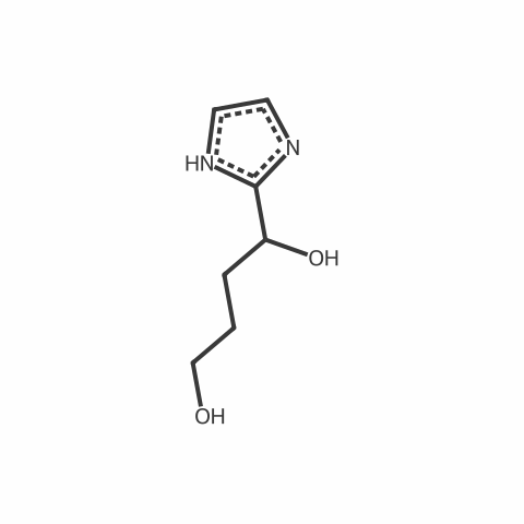 OCCCC(O)c1ncc[nH]1